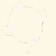 C1=Cc2cc3ccc(cc4nc(cc5ccc(cc1n2)[nH]5)C=C4)[nH]3.[Ni].[V]